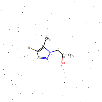 Cc1c(Br)cnn1C[C@H](C)O